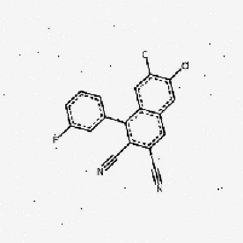 N#Cc1cc2cc(Cl)c(Cl)cc2c(-c2cccc(F)c2)c1C#N